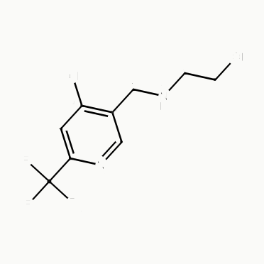 OCCNCc1cnc(C(F)(F)F)cc1Cl